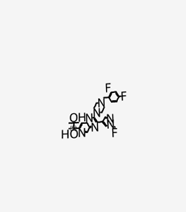 CC(C)(O)[C@@](C)(O)c1cc2nc(N3CCN(Cc4ccc(F)cc4F)CC3)c(-c3cnn(CF)c3)nc2cn1